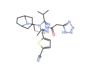 Cc1nnc(C(C)C)n1C1CC2CCC(C1)N2CC[C@H](NC(=O)Cc1nnn[nH]1)c1ccc(C#N)s1